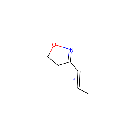 C/C=C/C1=NOCC1